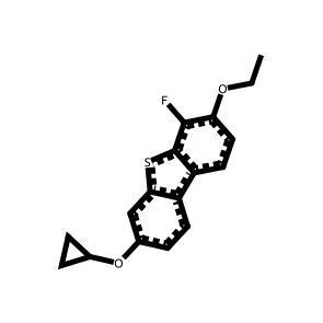 CCOc1ccc2c(sc3cc(OC4CC4)ccc32)c1F